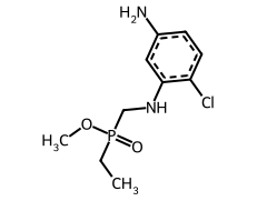 CCP(=O)(CNc1cc(N)ccc1Cl)OC